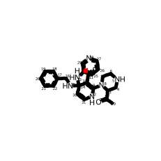 CC(=O)C1CNCCN1C1=C(C(N)=O)C(NCc2ccccc2)(Nc2cccnc2)C=CN1